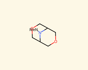 CNN1C2COCC1COC2